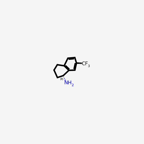 N[C@@H]1CCCc2ccc(C(F)(F)F)cc21